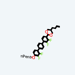 C=CCCC1COC(c2ccc(-c3ccc(-c4ccc(OCCCCC)c(F)c4F)cc3)c(F)c2F)OC1